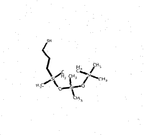 C[Si](C)(C)O[Si](C)(C)O[Si](C)(C)CCCS